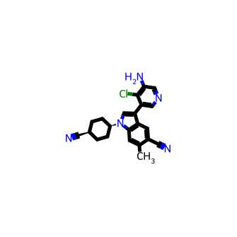 Cc1cc2c(cc1C#N)c(-c1cncc(N)c1Cl)cn2[C@H]1CC[C@H](C#N)CC1